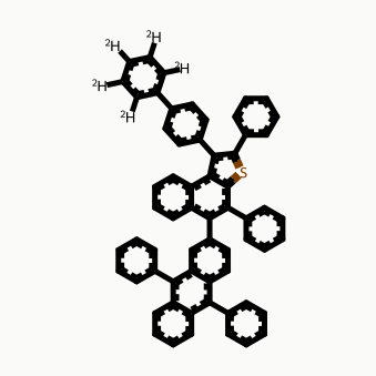 [2H]c1c([2H])c([2H])c(-c2ccc(-c3c(-c4ccccc4)sc4c(-c5ccccc5)c(-c5ccc6c(-c7ccccc7)c7ccccc7c(-c7ccccc7)c6c5)c5ccccc5c34)cc2)c([2H])c1[2H]